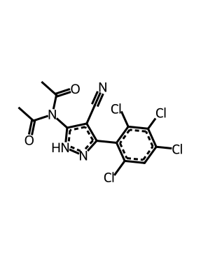 CC(=O)N(C(C)=O)c1[nH]nc(-c2c(Cl)cc(Cl)c(Cl)c2Cl)c1C#N